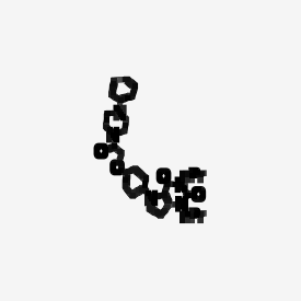 CCCn1c(=O)c2c(ccn2-c2ccc(OCC(=O)N3CCN(c4ccccc4)CC3)cc2)n(CCC)c1=O